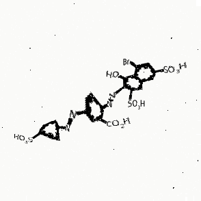 O=C(O)c1cc(/N=N/c2ccc(S(=O)(=O)O)cc2)ccc1/N=N/c1c(S(=O)(=O)O)cc2cc(S(=O)(=O)O)cc(Br)c2c1O